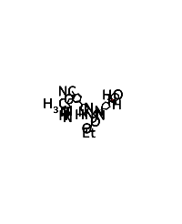 CCOCCOc1nn([C@H]2CC[C@H](N3[C@@H]4CC[C@H]3COC4)CC2)cc1Nc1ncc(-c2ccc(C#N)c(O[C@@H](C)Cn3cnnn3)c2)cn1